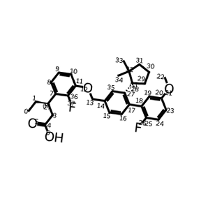 CC[C@H](CC(=O)O)c1cccc(OCc2ccc(-c3cc(OC)ccc3F)c([C@H]3CCCC3(C)C)c2)c1F